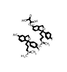 CN(C)CCCC1(c2ccc(F)cc2)OCc2cc(C#N)ccc21.CN(C)CCCC1(c2ccc(F)cc2)OCc2cc(C#N)ccc21.O=C(O)C(=O)O